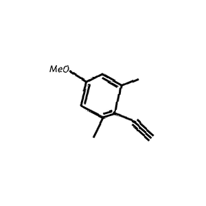 C#Cc1c(C)cc(OC)cc1C